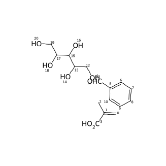 C=C(C)C(=O)O.O=Cc1ccccc1.OCC(O)C(O)C(O)CO